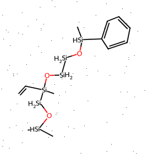 C=C[Si](C)(O[SiH2][SiH2]O[SiH](C)c1ccccc1)[SiH2]O[SiH](C)C